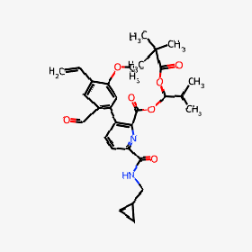 C=Cc1cc(C=O)c(-c2ccc(C(=O)NCC3CC3)nc2C(=O)OC(OC(=O)C(C)(C)C)C(C)C)cc1OC